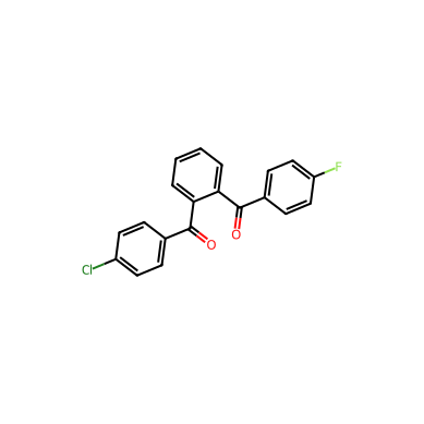 O=C(c1ccc(F)cc1)c1ccccc1C(=O)c1ccc(Cl)cc1